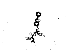 CC(C)=CC(C(=O)OCC(C)(CSc1ccc2cc(-c3ccccc3)oc2c1)CC(F)(F)F)C(C)(C)C